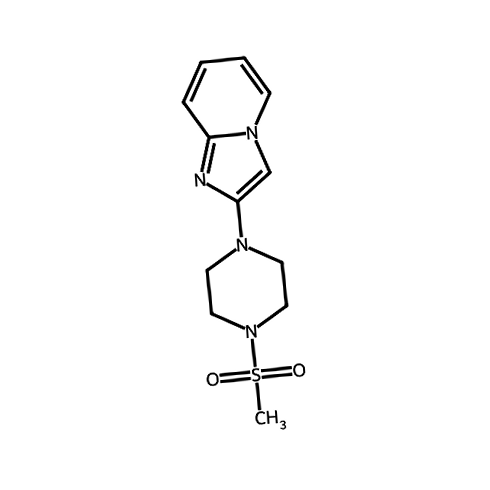 CS(=O)(=O)N1CCN(c2cn3ccccc3n2)CC1